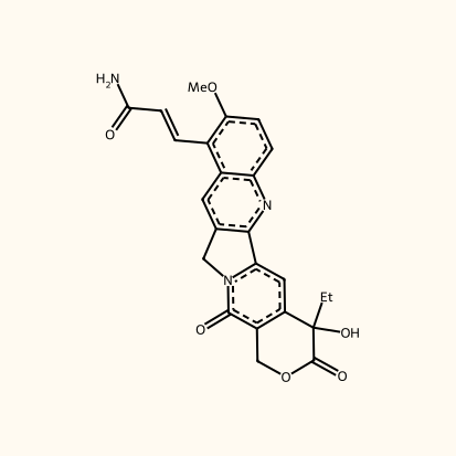 CCC1(O)C(=O)OCc2c1cc1n(c2=O)Cc2cc3c(C=CC(N)=O)c(OC)ccc3nc2-1